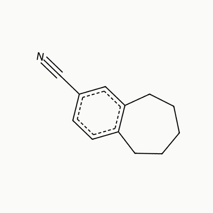 N#Cc1ccc2c(c1)CCCCC2